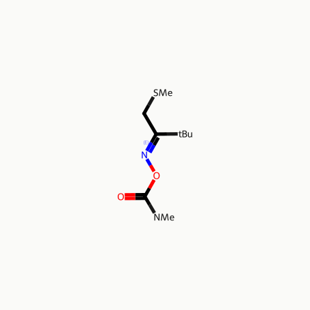 CNC(=O)O/N=C(/CSC)C(C)(C)C